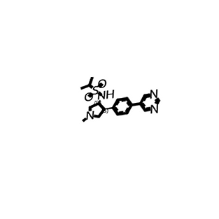 CC(C)S(=O)(=O)N[C@H]1CN(C)C[C@@H]1c1ccc(-c2cncnc2)cc1